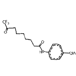 O=C(CCCCCCC(=O)C(F)(F)F)Nc1ccc(O)cc1